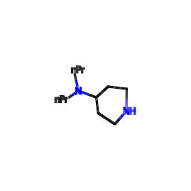 CCCN(CCC)C1CCNCC1